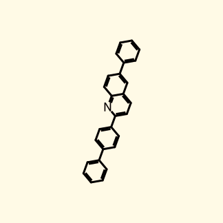 c1ccc(-c2ccc(-c3ccc4cc(-c5ccccc5)ccc4n3)cc2)cc1